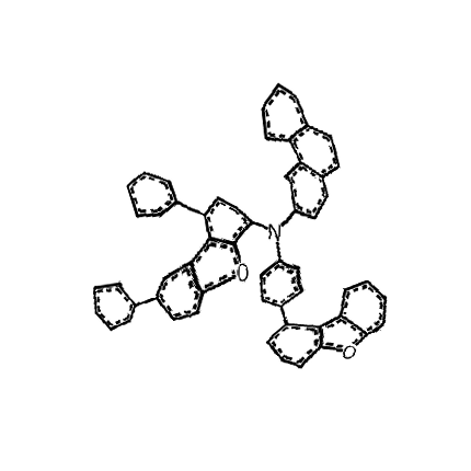 c1ccc(-c2ccc3oc4c(N(c5ccc(-c6cccc7oc8ccccc8c67)cc5)c5ccc6ccc7ccccc7c6c5)ccc(-c5ccccc5)c4c3c2)cc1